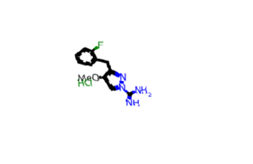 COc1cn(C(=N)N)nc1Cc1ccccc1F.Cl